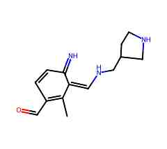 CC1=C(C=O)C=CC(=N)/C1=C\NCC1CCNC1